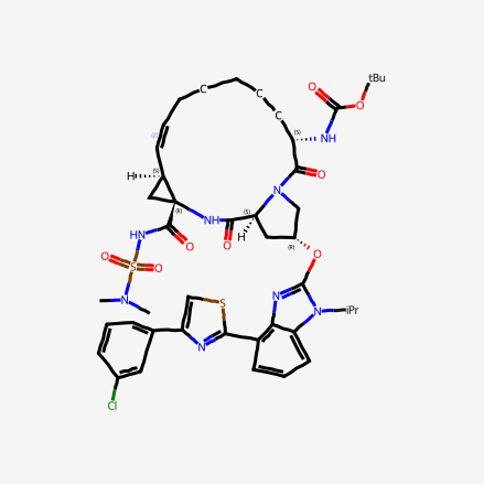 CC(C)n1c(O[C@@H]2C[C@H]3C(=O)N[C@]4(C(=O)NS(=O)(=O)N(C)C)C[C@H]4/C=C\CCCCC[C@H](NC(=O)OC(C)(C)C)C(=O)N3C2)nc2c(-c3nc(-c4cccc(Cl)c4)cs3)cccc21